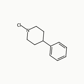 ClN1CCC(c2ccccc2)CC1